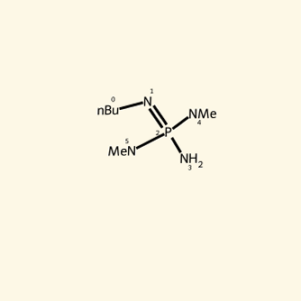 CCCCN=P(N)(NC)NC